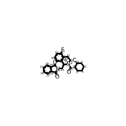 O=C(O)[C@@H]1CCCC[C@@H]1C(=O)N1CCc2c(F)cccc2C1CN1C(=O)c2ccccc2C1=O